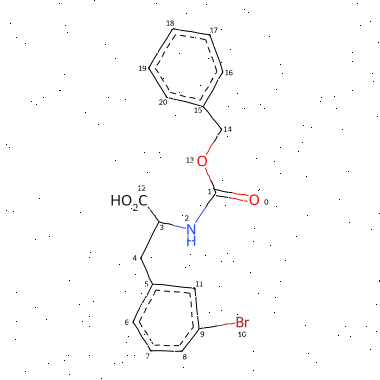 O=C(NC(Cc1cccc(Br)c1)C(=O)O)OCc1ccccc1